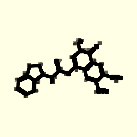 COc1cc2c(OC(=O)NC3CCc4ccccc43)cn(C(C)C)c(=O)c2cc1OC